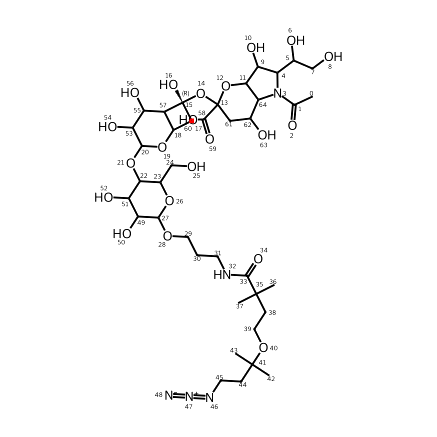 CC(=O)N1C(C(O)CO)C(O)C2OC(O[C@]3(O)CC4OC(OC5C(CO)OC(OCCCNC(=O)C(C)(C)CCOC(C)(C)CCN=[N+]=[N-])C(O)C5O)C(O)C(O)C43)(C(=O)O)CC(O)C21